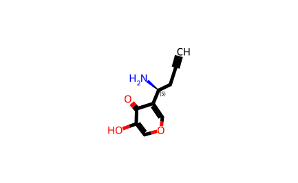 C#CC[C@H](N)c1cocc(O)c1=O